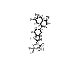 O=C(O)N(CC(F)(F)F)c1nc2cc(-c3n[nH]c(=O)c4cc(F)c(F)cc34)ccc2[nH]1